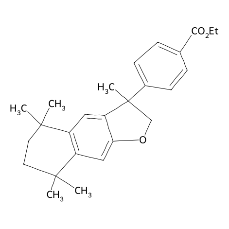 CCOC(=O)c1ccc(C2(C)COc3cc4c(cc32)C(C)(C)CCC4(C)C)cc1